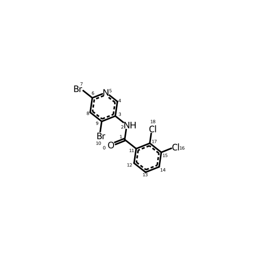 O=C(Nc1cnc(Br)cc1Br)c1cccc(Cl)c1Cl